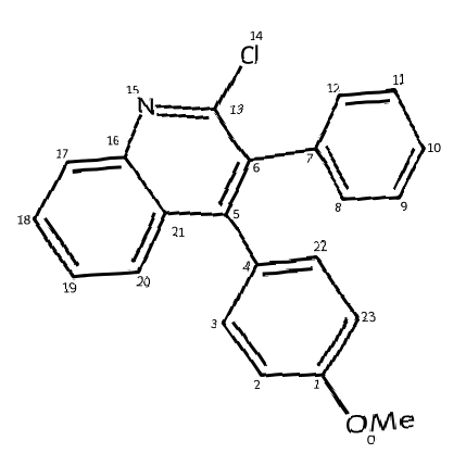 COc1ccc(-c2c(-c3ccccc3)c(Cl)nc3ccccc23)cc1